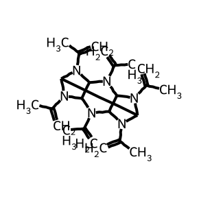 C=C(C)N1C2C3N(C(=C)C)C1C1N(C(=C)C)C(C(N1C(=C)C)N3C(=C)C)N2C(=C)C